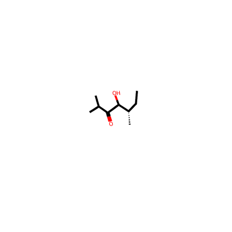 CC[C@H](C)C(O)C(=O)C(C)C